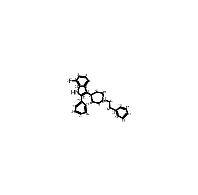 Fc1cccc2c(C3CCN(CCc4ccccc4)CC3)c(-c3ccccc3)[nH]c12